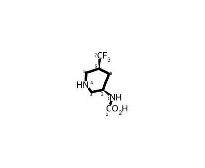 O=C(O)N[C@H]1CNC[C@@H](C(F)(F)F)C1